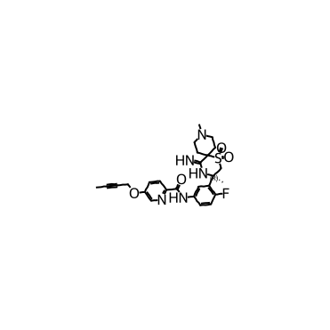 CC#CCOc1ccc(C(=O)Nc2ccc(F)c([C@]3(C)CS(=O)(=O)C4(CCN(C)CC4)C(=N)N3)c2)nc1